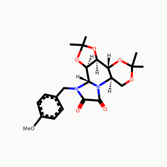 COc1ccc(CN2C(=O)C(=O)N3[C@@H]4COC(C)(C)O[C@H]4[C@@H]4OC(C)(C)O[C@@H]4[C@@H]23)cc1